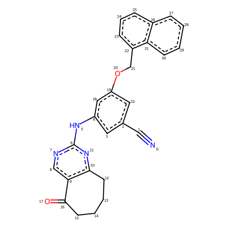 N#Cc1cc(Nc2ncc3c(n2)CCCCC3=O)cc(OCc2cccc3ccccc23)c1